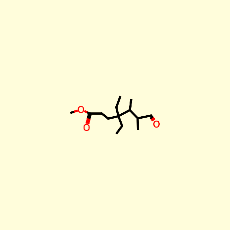 CCC(CC)(CCC(=O)OC)C(C)C(C)C=O